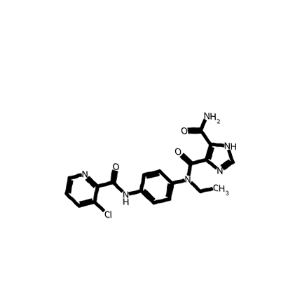 CCN(C(=O)c1nc[nH]c1C(N)=O)c1ccc(NC(=O)c2ncccc2Cl)cc1